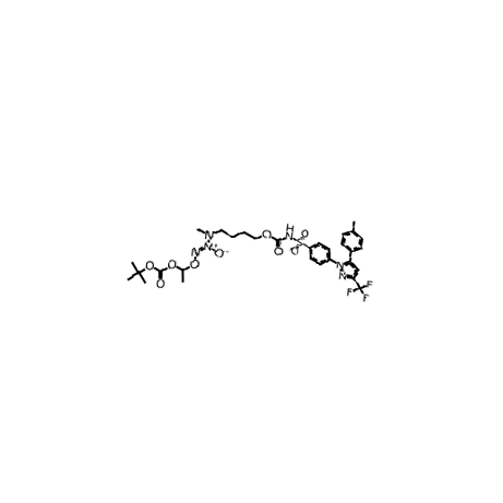 Cc1ccc(-c2cc(C(F)(F)F)nn2-c2ccc(S(=O)(=O)NC(=O)OCCCCN(C)[N+]([O-])=NOC(C)OC(=O)OC(C)(C)C)cc2)cc1